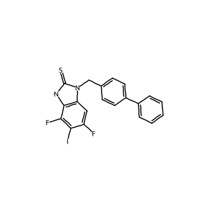 Fc1cc2c(c(F)c1I)[N]C(=S)N2Cc1ccc(-c2ccccc2)cc1